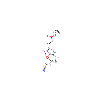 COC(=O)CC[C@H]1CC2(CI)OC(CCC#N)CCC2O1